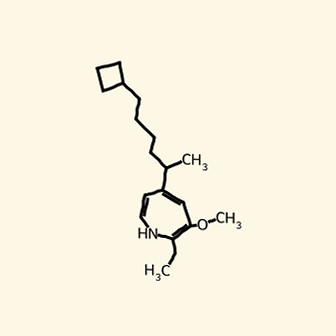 CCC1=C(OC)C=C(C(C)CCCCC2CCC2)C=CN1